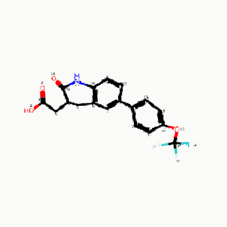 O=C(O)CC1Cc2cc(-c3ccc(OC(F)(F)F)cc3)ccc2NC1=O